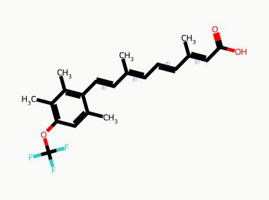 CC(/C=C/c1c(C)cc(OC(F)(F)F)c(C)c1C)=C\C=C\C(C)=C\C(=O)O